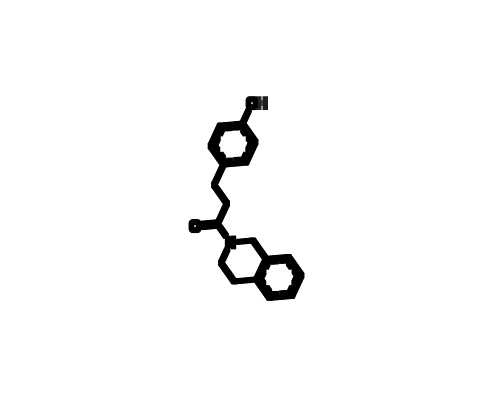 O=C(CCc1ccc(O)cc1)N1CCc2ccccc2C1